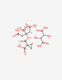 O=C(O)C(O)C(O)C(=O)O.O=C(O)CC(CC(=O)O)(OC(=O)C1(C(=O)O)CC1)C(=O)O